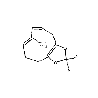 CC1=C\CCC2=C(C/C=C\1)OC(F)(F)O2